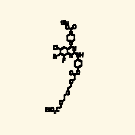 CCOC(=O)COCCOCCOCC(=O)Oc1ccc(Nc2nc(N3CCN(C(=O)OC(C)(C)C)CC3)c3cc(Cl)c(Br)c(F)c3n2)cc1